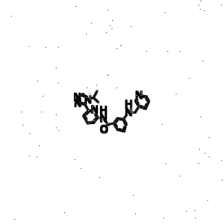 CC(C)n1cnnc1-c1cccc(NC(=O)c2cccc(NCc3cccnc3)c2)n1